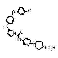 O=C(O)C1CCN(c2ccc(NC(=O)n3ccc(Nc4ccc(Oc5ccc(Cl)cc5)cc4)n3)cn2)CC1